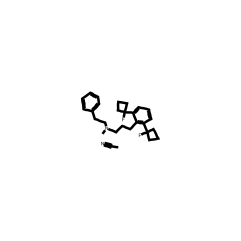 CC#N.CN(CCCc1c(C2(F)CCC2)cccc1C1(F)CCC1)CCc1ccccc1